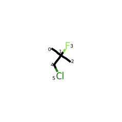 CC(C)(F)CCl